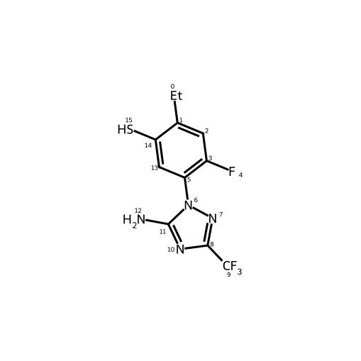 CCc1cc(F)c(-n2nc(C(F)(F)F)nc2N)cc1S